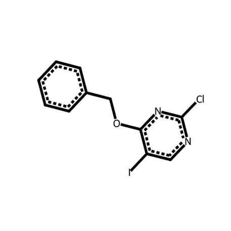 Clc1ncc(I)c(OCc2ccccc2)n1